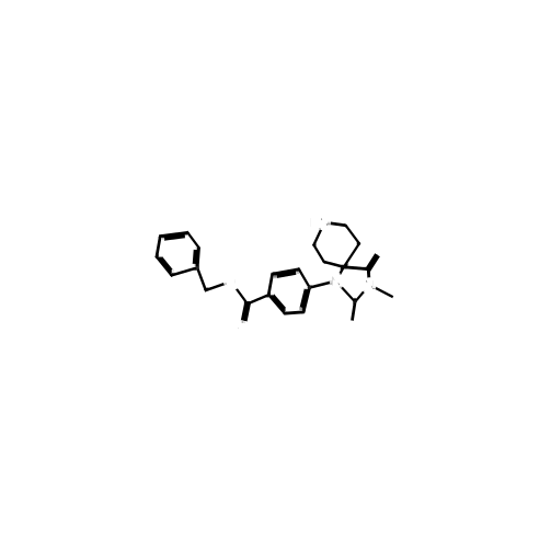 CC1N(C)C(=O)C2(CCNCC2)N1c1ccc(C(=O)OCc2ccccc2)cc1